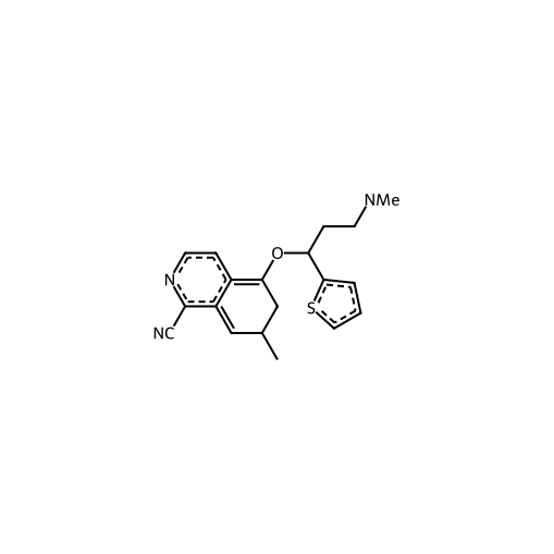 CNCCC(OC1=c2ccnc(C#N)c2=CC(C)C1)c1cccs1